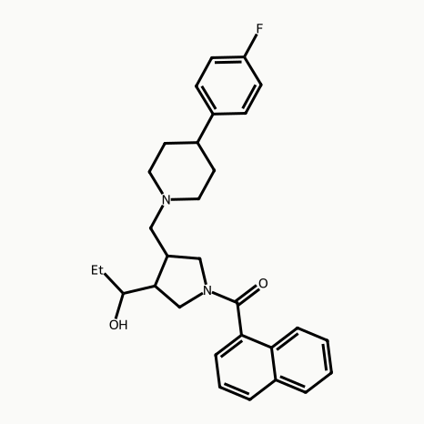 CCC(O)C1CN(C(=O)c2cccc3ccccc23)CC1CN1CCC(c2ccc(F)cc2)CC1